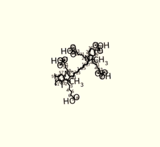 CC1(CCCCCC(=O)O)C(/C=C/C=C/C=C/C=C2\N(CCCCS(=O)(=O)O)c3ccc(S(=O)(=O)O)cc3C2(C)CCCCS(=O)(=O)O)=[N+](CCCS(=O)(=O)O)c2cc(I)c(I)c(I)c21